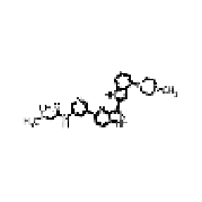 CN(C)CC(=O)Nc1cncc(-c2ccc3[nH]nc(-c4cc5c(N6CCN(C)CC6)cccc5[nH]4)c3n2)c1